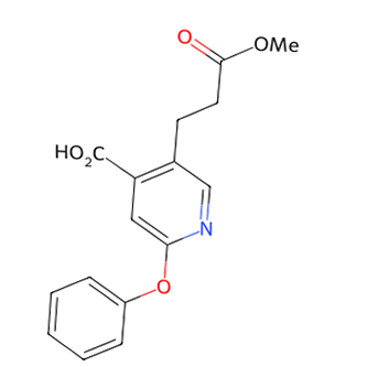 COC(=O)CCc1cnc(Oc2ccccc2)cc1C(=O)O